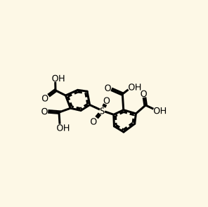 O=C(O)c1ccc(S(=O)(=O)c2cccc(C(=O)O)c2C(=O)O)cc1C(=O)O